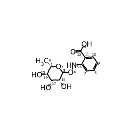 C[C@@H]1OC(ONc2ccccc2C(=O)O)[C@H](O)[C@H](O)[C@H]1O